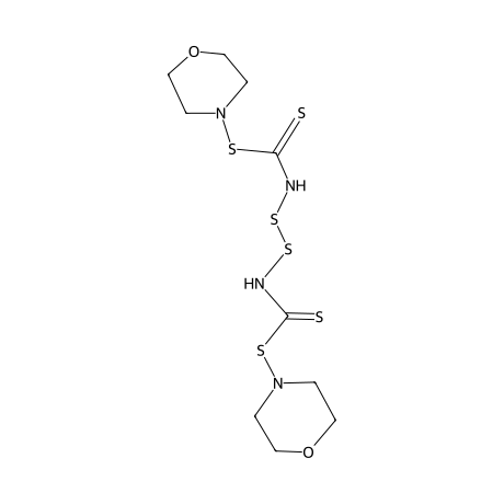 S=C(NSSNC(=S)SN1CCOCC1)SN1CCOCC1